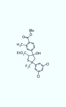 CCOC(=O)C1S[C@@](c2cc(Cl)cc(Cl)c2)(C(F)(F)F)CC1(O)c1ccc(C(=O)OC(C)(C)C)c(C)c1